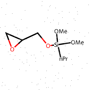 CCC[Si](OC)(OC)OCC1CO1